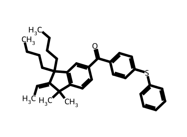 C/C=C1\C(C)(C)c2ccc(C(=O)c3ccc(Sc4ccccc4)cc3)cc2C1(CCCC)CCCC